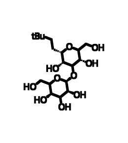 CC(C)(C)CC[C@@H]1OC(CO)[C@H](O)C(O[C@@H]2OC(CO)[C@H](O)C(O)[C@@H]2O)[C@@H]1O